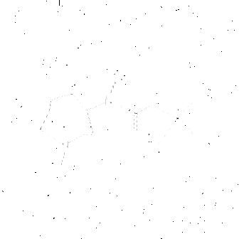 CN1CCCC(N(N)C(=O)OC(C)(C)C)C1